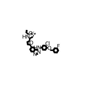 C=CCNC(C[S+](C)[O-])c1ccc(-c2ccc3ncnc(Nc4ccc(OCc5cccc(F)c5)c(Cl)c4)c3c2)o1